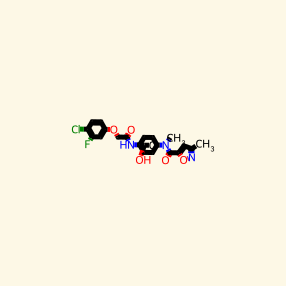 Cc1cc(C(=O)N(C)C23CCC(NC(=O)COc4ccc(Cl)c(F)c4)(CC2)C(O)C3)on1